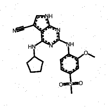 COc1cc(S(C)(=O)=O)ccc1Nc1nc(NC2CCCC2)c2c(C#N)c[nH]c2n1